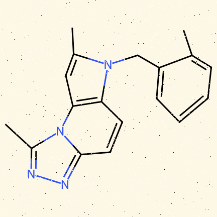 Cc1ccccc1Cn1c(C)cc2c1ccc1nnc(C)n12